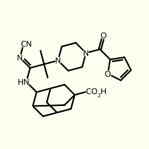 CC(C)(/C(=N\C#N)NC1C2CC3CC1CC(C(=O)O)(C3)C2)N1CCN(C(=O)c2ccco2)CC1